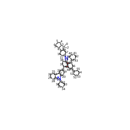 CC1(C)c2ccccc2-c2ccc(N(c3ccc(-c4ccc5c(c4)c4ccccc4n5-c4ccccc4)cc3)c3ccccc3-c3cccc(-c4ccccc4)c3)cc21